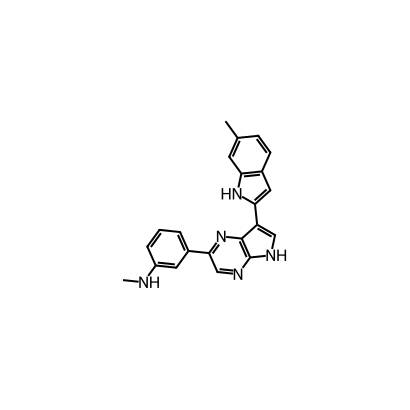 CNc1cccc(-c2cnc3[nH]cc(-c4cc5ccc(C)cc5[nH]4)c3n2)c1